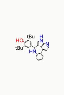 CC(C)(C)c1cc(C2Nc3ccccc3-c3ccnc4[nH]cc2c34)cc(C(C)(C)C)c1O